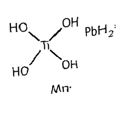 [Mn].[OH][Ti]([OH])([OH])[OH].[PbH2]